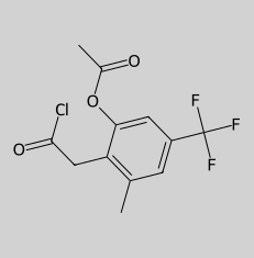 CC(=O)Oc1cc(C(F)(F)F)cc(C)c1CC(=O)Cl